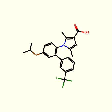 Cc1cc(C(=O)O)c(C)n1-c1ccc(SC(C)C)cc1-c1cccc(C(F)(F)F)c1